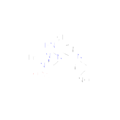 CC(C)C1COC(=O)N1c1ccnc(N[C@@H](C)c2ccc(Nc3ccc([N+](=O)[O-])cc3)cc2)n1